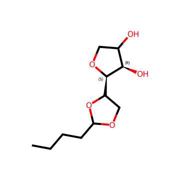 CCCCC1OCC([C@H]2OCC(O)[C@H]2O)O1